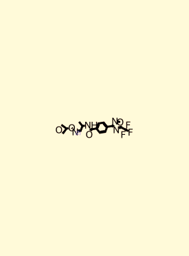 CC(/C=N\OC1COC1)NC(=O)c1ccc(-c2noc(C(F)(F)F)n2)cc1